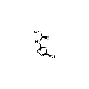 CNC(=O)Nc1nnc(S)s1